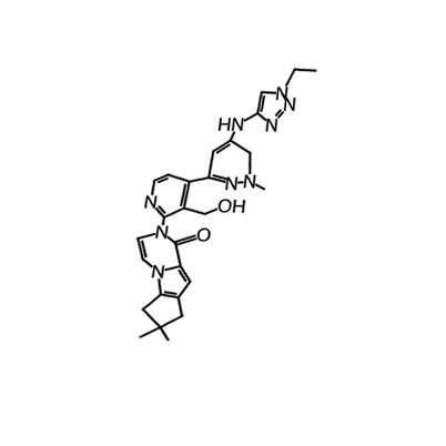 CCn1cc(NC2=CC(c3ccnc(-n4ccn5c6c(cc5c4=O)CC(C)(C)C6)c3CO)=NN(C)C2)nn1